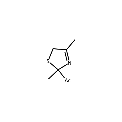 CC(=O)C1(C)N=C(C)CS1